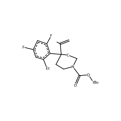 C=C(C)C1(c2c(F)cc(F)cc2CC)CCN(C(=O)OC(C)(C)C)CC1